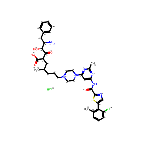 Cc1nc(NC(=O)c2ncc(-c3c(C)cccc3Cl)s2)cc(N2CCN(CCCC(C)CC(C(=O)O)C(=O)[C@@H](O)[C@H](N)Cc3ccccc3)CC2)n1.Cl